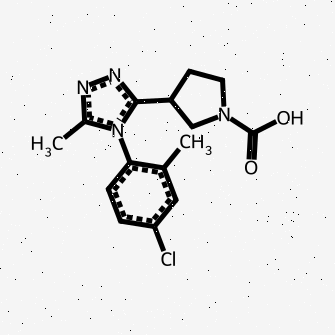 Cc1cc(Cl)ccc1-n1c(C)nnc1C1CCN(C(=O)O)C1